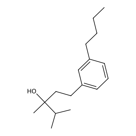 CCCCc1cccc(CCC(C)(O)C(C)C)c1